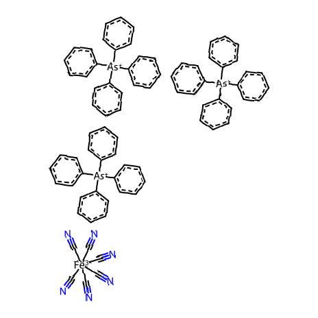 N#[C][Fe-3]([C]#N)([C]#N)([C]#N)([C]#N)[C]#N.c1ccc([As+](c2ccccc2)(c2ccccc2)c2ccccc2)cc1.c1ccc([As+](c2ccccc2)(c2ccccc2)c2ccccc2)cc1.c1ccc([As+](c2ccccc2)(c2ccccc2)c2ccccc2)cc1